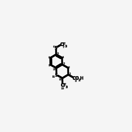 O=C(O)C1Cc2cc(SC(F)(F)F)ccc2SC1C(F)(F)F